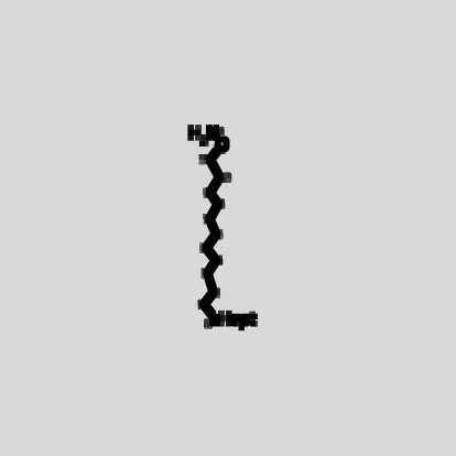 CCCCCCCCCCCCCCCCCCON